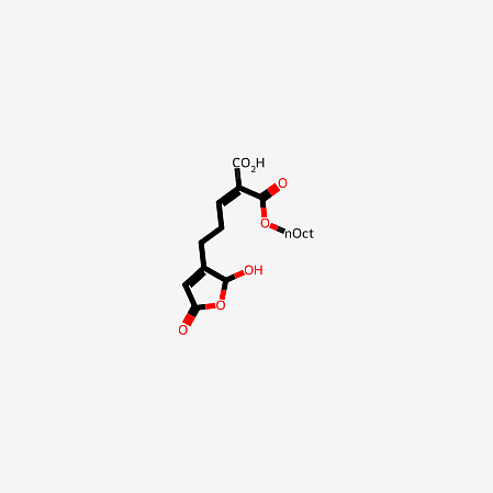 CCCCCCCCOC(=O)C(=CCCC1=CC(=O)OC1O)C(=O)O